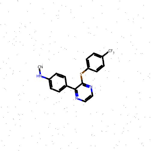 N#CNc1ccc(-c2nccnc2Sc2ccc(C(F)(F)F)cc2)cc1